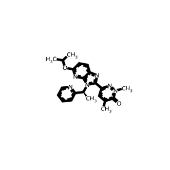 Cc1cc(-c2nc3ccc(OC(C)C)nc3n2[C@@H](C)c2ccccn2)nn(C)c1=O